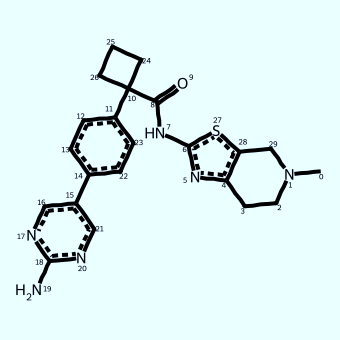 CN1CCc2nc(NC(=O)C3(c4ccc(-c5cnc(N)nc5)cc4)CCC3)sc2C1